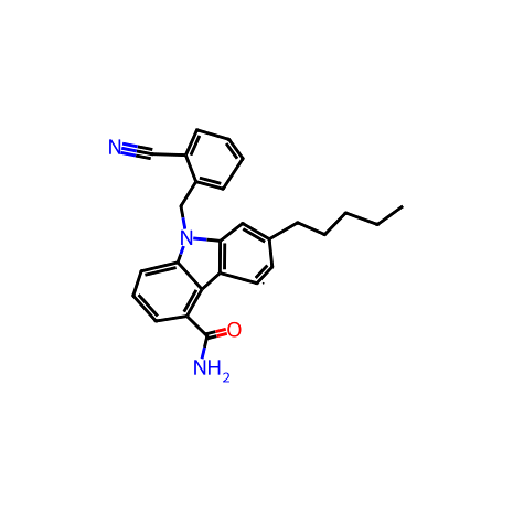 CCCCCc1c[c]c2c3c(C(N)=O)cccc3n(Cc3ccccc3C#N)c2c1